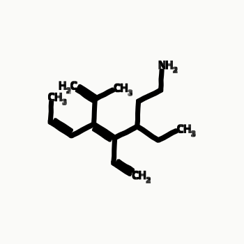 C=C/C(=C(\C=C/C)C(=C)C)C(CC)CCN